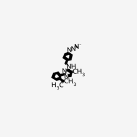 Cc1cnc(-c2ccccc2C(C)C)nc1NCc1ccc(N=[N+]=[N-])cc1